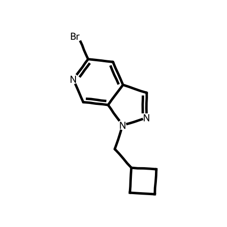 Brc1cc2cnn(CC3CCC3)c2cn1